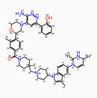 [2H]C1C=CN(c2ccc3c(c2)c(C)cn3C2CCN(CC3(F)CCN(C(=O)c4ccc(C5CN(c6cc(-c7ccccc7O)nnc6N)CCO5)c(C)c4)CC3)CC2)C([2H])N1